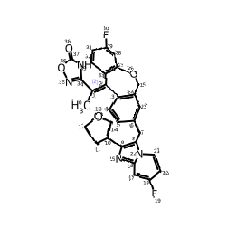 C/C(=C1\c2ccc(Cc3c(C4CCOC4)nc4cc(F)ccn34)cc2COc2cc(F)ccc21)c1noc(=O)[nH]1